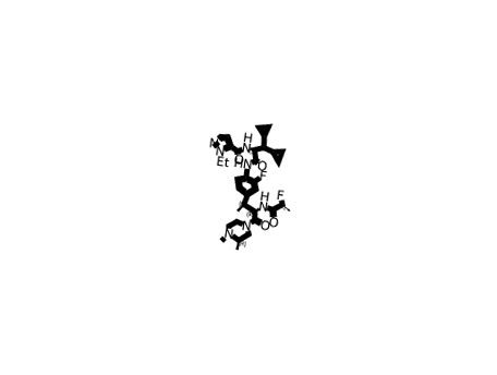 CCn1nccc1C(=O)N[C@H](C(=O)Nc1ccc([C@H](C)[C@@H](NC(=O)[C@@H](C)F)C(=O)N2CCN(C)[C@H](C)C2)cc1F)C(C1CC1)C1CC1